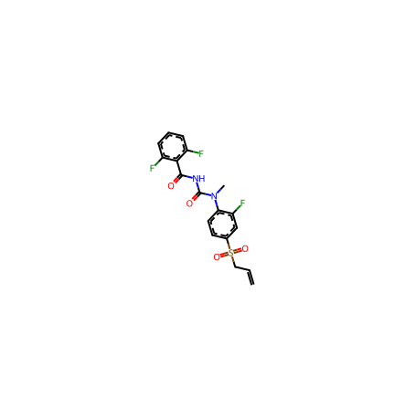 C=CCS(=O)(=O)c1ccc(N(C)C(=O)NC(=O)c2c(F)cccc2F)c(F)c1